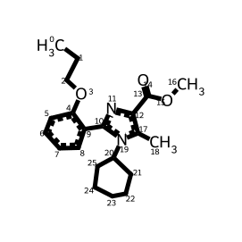 CCCOc1ccccc1-c1nc(C(=O)OC)c(C)n1C1CCCCC1